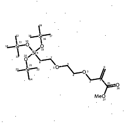 C=C(COCCOCC[Si](O[Si](C)(C)C)(O[Si](C)(C)C)O[Si](C)(C)C)C(=O)OC